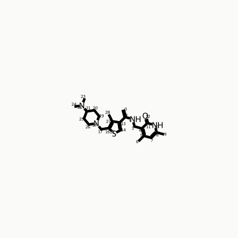 C=C(NCc1c(C)cc(C)[nH]c1=O)c1csc(CN2CCC(N(C)C)CC2)c1C